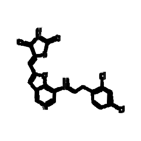 O=C1NC(=O)C(=Cc2cc3cncc(NCCc4ccc(Cl)cc4Cl)c3o2)S1